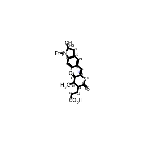 CCN1c2ccc(/C=C3/SC(=S)C(CCC(=O)O)C(C)C3=O)cc2CC1C